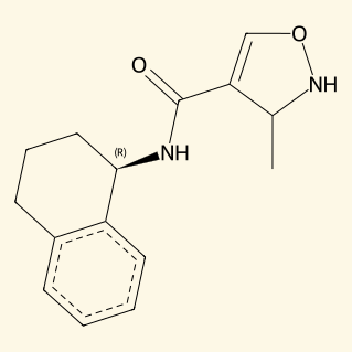 CC1NOC=C1C(=O)N[C@@H]1CCCc2ccccc21